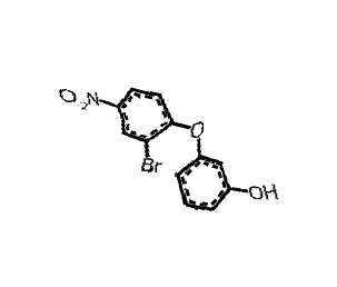 O=[N+]([O-])c1ccc(Oc2cccc(O)c2)c(Br)c1